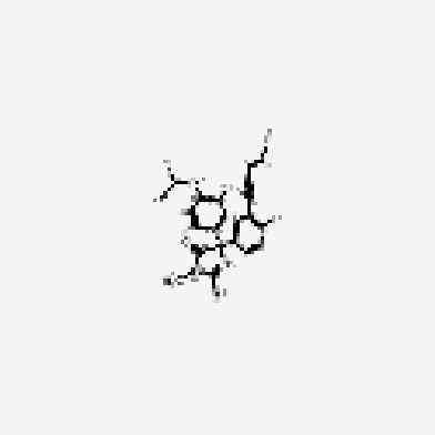 Cc1cc([C@]2(c3ccc(F)c(C#CCCF)c3)N=C(N)N(C)C2=O)ccc1OC(F)F